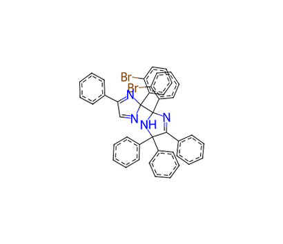 Brc1ccccc1C1(C2(c3ccccc3Br)N=C(c3ccccc3)C(c3ccccc3)(c3ccccc3)N2)N=CC(c2ccccc2)=N1